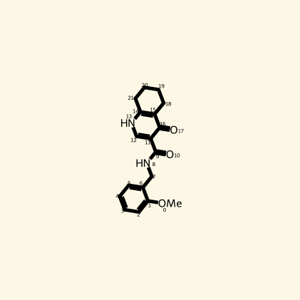 COc1ccccc1CNC(=O)c1c[nH]c2c(c1=O)CCCC2